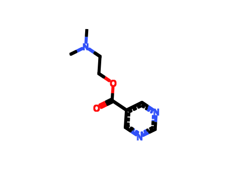 CN(C)CCOC(=O)c1cncnc1